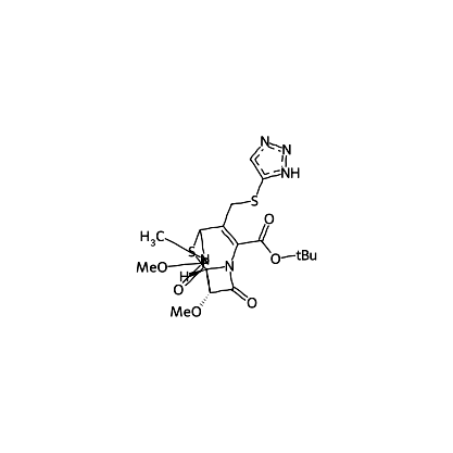 CO[C@]12C(=O)N3C(C(=O)OC(C)(C)C)=C(CSc4cnn[nH]4)C(S[C@H]31)N(C)P2(=O)OC